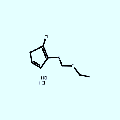 CCOCSC1=[C]([Ti])CC=C1.Cl.Cl